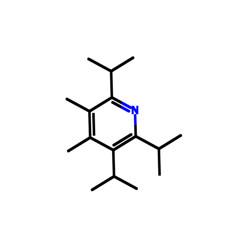 Cc1c(C(C)C)nc(C(C)C)c(C(C)C)c1C